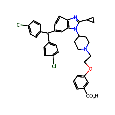 O=C(O)c1cccc(OCCN2CCC(n3c(C4CC4)nc4ccc(C(c5ccc(Cl)cc5)c5ccc(Cl)cc5)cc43)CC2)c1